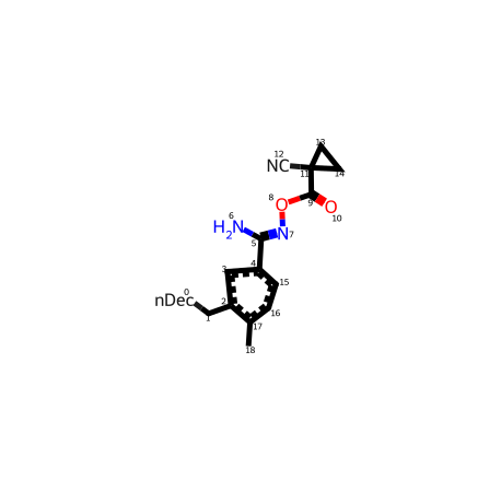 CCCCCCCCCCCc1cc(/C(N)=N/OC(=O)C2(C#N)CC2)ccc1C